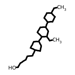 CCC1CCC(C2CCC(C3CCC(CCCCCO)CC3)C(CC)C2)CC1